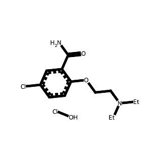 CCN(CC)CCOc1ccc(Cl)cc1C(N)=O.OCl